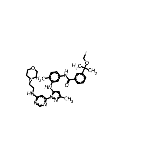 Cc1cc(Nc2cc(NC(=O)c3cccc(C(C)(C)OCI)c3)ccc2C)n(-c2cc(NCCN3CCOCC3)ncn2)n1